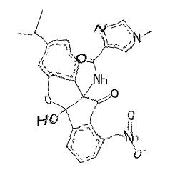 CC(C)c1ccc2c(c1)OC1(O)c3cccc([N+](=O)[O-])c3C(=O)C21NC(=O)c1cn(C)cn1